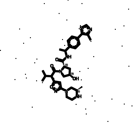 Cc1ncsc1-c1ccc(C(C)NC(=O)[C@@H]2C[C@@H](O)CN2C(=O)C(c2cc(N3CCN[C@@H](C)C3)no2)C(C)C)cc1